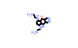 NCCNc1ccc2c3c(nn2CCN)-c2cnncc2C(=O)c13